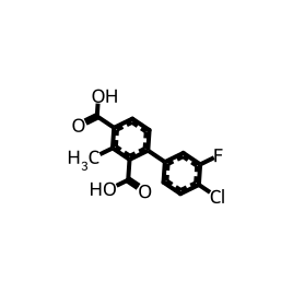 Cc1c(C(=O)O)ccc(-c2ccc(Cl)c(F)c2)c1C(=O)O